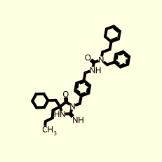 CCCCC1(CC2CCCCC2)NC(=N)N(Cc2ccc(CNC(=O)N(CCC3=CC=CCC3)Cc3ccccc3)cc2)C1=O